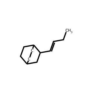 CCC=CC1CC2CCC1CC2